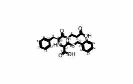 O=C(O)CCNC(=O)[C@H](Cc1ccccc1)NC(CSCc1ccccc1)C(=O)O